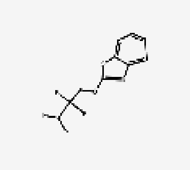 FC(F)C(F)(F)COc1nc2ccccc2s1